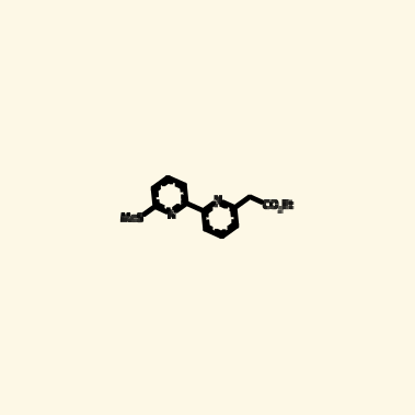 CCOC(=O)Cc1cccc(-c2cccc(SC)n2)n1